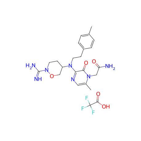 Cc1ccc(CCN(c2ncc(C)n(CC(N)=O)c2=O)C2CCN(C(=N)N)OC2)cc1.O=C(O)C(F)(F)F